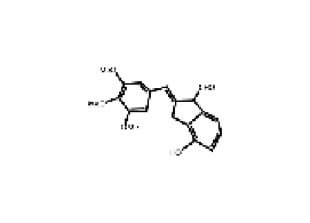 COc1cc(/C=C2\Cc3c(O)cccc3C2C=O)cc(OC)c1OC